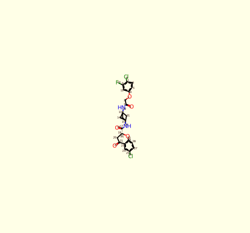 O=C(COc1ccc(Cl)c(F)c1)NC12CC(NC(=O)[C@H]3CC(=O)c4cc(Cl)ccc4O3)(C1)C2